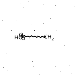 C=CCCCCCCCCCCCS(=O)(=O)O